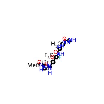 COC(=O)N[C@H](C(=O)N1CCC[C@H]1c1nc(-c2ccc(-c3cc(F)c(NC(=O)c4ccc(N5CCN(C(=O)c6c[nH]cn6)C[C@H]5C)nc4)cc3OC(F)(F)F)cc2)c[nH]1)C(C)C